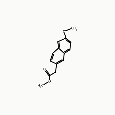 COC(=O)Cc1ccc2cc(OC)ccc2c1